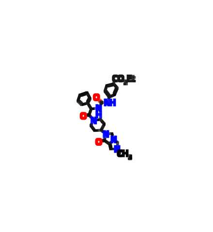 CCOC(=O)c1ccc(NC(=O)NC(C(=O)N2CCC(N3CN4CN(C)C=C4C3=O)CC2)c2ccccc2)cc1